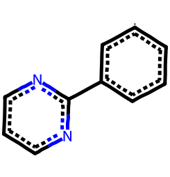 [c]1cccc(-c2ncccn2)c1